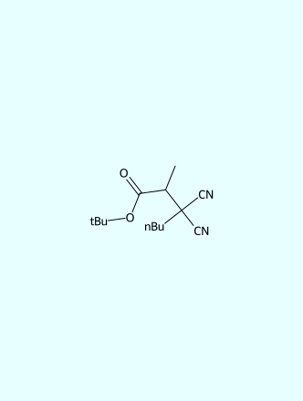 CCCCC(C#N)(C#N)C(C)C(=O)OC(C)(C)C